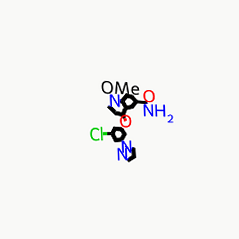 COc1cc2nccc(Oc3cc(Cl)cc(-n4cccn4)c3)c2cc1C(N)=O